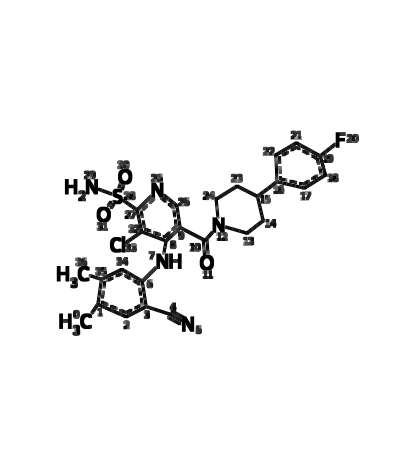 Cc1cc(C#N)c(Nc2c(C(=O)N3CCC(c4ccc(F)cc4)CC3)cnc(S(N)(=O)=O)c2Cl)cc1C